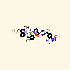 Cc1cc(C)c2cccc(OCc3c(Cl)ccc(S(=O)(=O)N4CCCC4C(=O)N4CCN(C(=O)c5ccc(/C(N)=N\O)cc5)CC4)c3Cl)c2n1